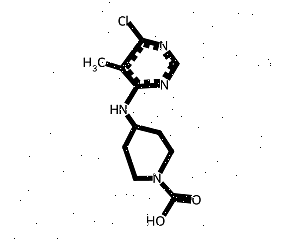 Cc1c(Cl)ncnc1NC1CCN(C(=O)O)CC1